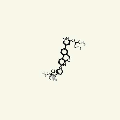 CC(C)Oc1cc(-c2ccc3c(c2)COc2nc(N4CCC(NC(C)(C)C)C4)ccc2-3)cnn1